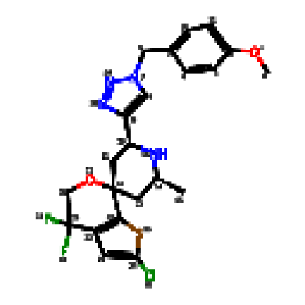 COc1ccc(Cn2cc([C@@H]3C[C@]4(C[C@H](C)N3)OCC(F)(F)c3cc(Cl)sc34)nn2)cc1